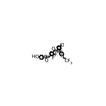 O=C(Nc1ccc(Cl)cc1N1CCN(CCC(F)(F)F)CC1)c1ccc(CNC(=O)[C@H]2CC[C@@H](O)CC2)c(F)c1F